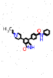 CC=CN1CCC(c2cc3c(c(-c4ccc(C(=O)Nc5ccccc5)cc4)c2)CNC3=O)CC1